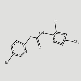 O=C(Cc1ccc(Br)cn1)Nc1ncc(C(F)(F)F)cc1Cl